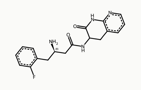 N[C@@H](CC(=O)NC1Cc2cccnc2NC1=O)Cc1ccccc1F